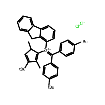 CC1=[C]([Zr+2](=[C](c2ccc(C(C)(C)C)cc2)c2ccc(C(C)(C)C)cc2)[c]2cccc3c2Cc2ccccc2-3)C(C)C=C1C(C)(C)C.[Cl-].[Cl-]